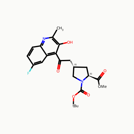 COC(=O)[C@@H]1C[C@@H](CC(=O)c2c(O)c(C)nc3ccc(F)cc23)CN1C(=O)OC(C)(C)C